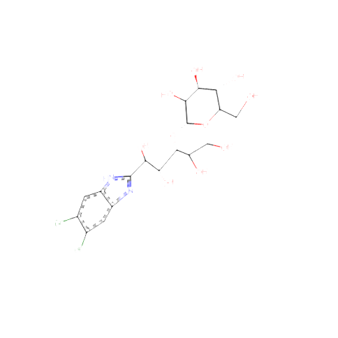 OCC1O[C@H](O[C@H](C(O)CO)[C@H](O)C(O)c2nc3cc(Br)c(Br)cc3[nH]2)C(O)[C@@H](O)[C@@H]1O